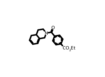 CCOC(=O)c1ccc(C(=O)N2CCC3CC=CC=C3C2)cc1